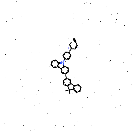 C#C/C=C\C(=C/C)c1ccc(-n2c3ccccc3c3cc(-c4ccc5c(c4)-c4ccccc4C5(C)C)ccc32)cc1